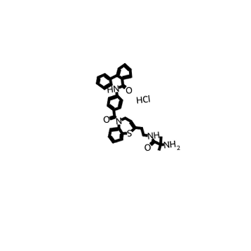 CC(C)(N)C(=O)NCCC1=CCN(C(=O)c2ccc(NC(=O)c3ccccc3-c3ccccc3)cc2)c2ccccc2S1.Cl